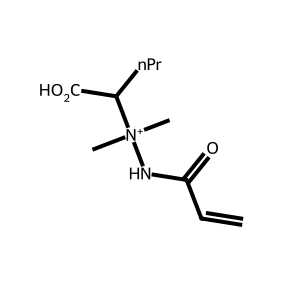 C=CC(=O)N[N+](C)(C)C(CCC)C(=O)O